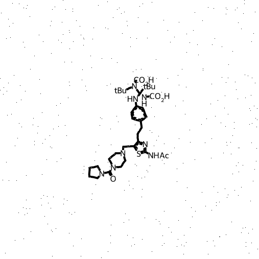 CC(=O)Nc1nc(CCc2ccc(NC(NC(=O)O)(N(C(=O)O)C(C)(C)C)C(C)(C)C)cc2)c(CN2CCN(C(=O)N3CCCC3)CC2)s1